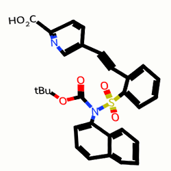 CC(C)(C)OC(=O)N(c1cccc2ccccc12)S(=O)(=O)c1ccccc1C#Cc1ccc(C(=O)O)nc1